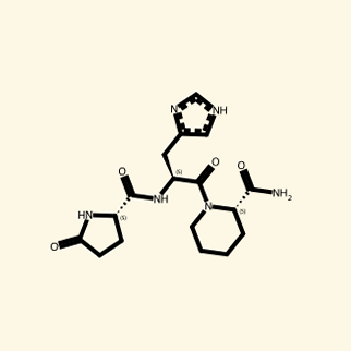 NC(=O)[C@@H]1CCCCN1C(=O)[C@H](Cc1c[nH]cn1)NC(=O)[C@@H]1CCC(=O)N1